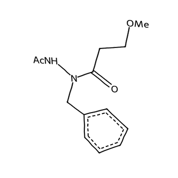 COCCC(=O)N(Cc1ccccc1)NC(C)=O